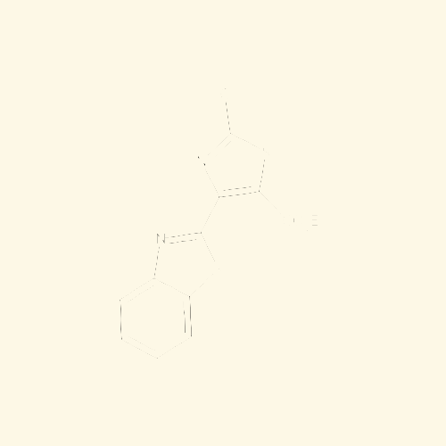 CCOC(=O)c1sc(Cl)nc1-c1nc2ccccc2s1